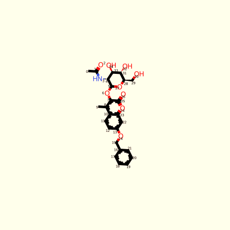 CC(=O)N[C@H]1C(Oc2c(C)c3ccc(OCc4ccccc4)cc3oc2=O)O[C@H](CO)[C@@H](O)[C@@H]1O